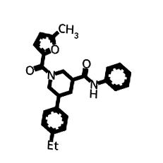 CCc1ccc(C2CC(C(=O)Nc3ccccc3)CN(C(=O)c3ccc(C)o3)C2)cc1